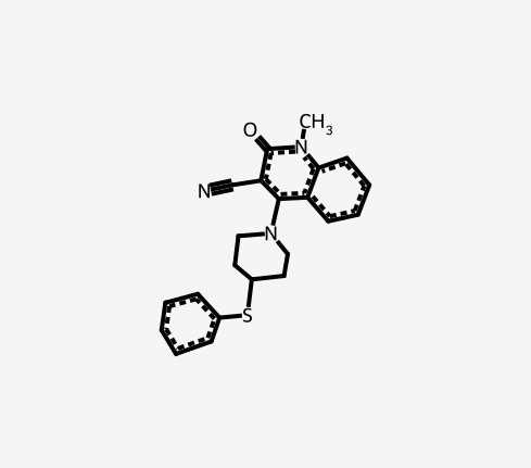 Cn1c(=O)c(C#N)c(N2CCC(Sc3ccccc3)CC2)c2ccccc21